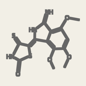 COc1cc(OC)c2c(c1OC)/C(=C1\SC(=O)NC1=S)NC2=N